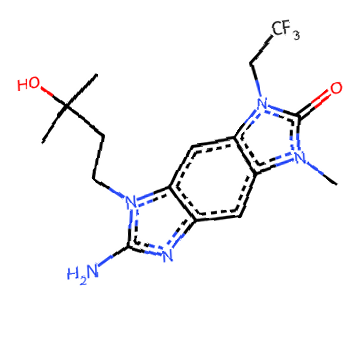 Cn1c(=O)n(CC(F)(F)F)c2cc3c(cc21)nc(N)n3CCC(C)(C)O